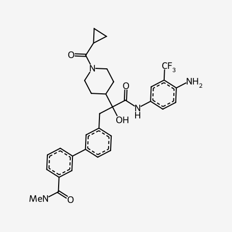 CNC(=O)c1cccc(-c2cccc(CC(O)(C(=O)Nc3ccc(N)c(C(F)(F)F)c3)C3CCN(C(=O)C4CC4)CC3)c2)c1